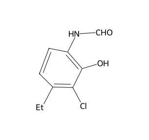 CCc1ccc(NC=O)c(O)c1Cl